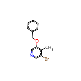 Cc1c(Br)cncc1OCc1ccccc1